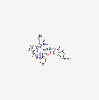 CCO[C@@H]1C[C@@H]2CN(C(=O)[C@@H](NC(=O)[C@@H](C)C(NC(=O)O)C(C)(C)C)C3CCCCC3)[C@H](c3nc(C(=O)c4ccc(OC)cc4)cs3)CN2C1